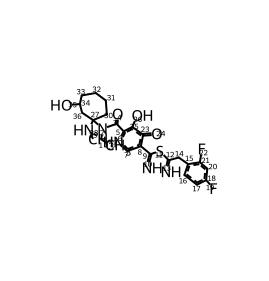 CCN(C(=O)c1[nH]cc(C(=N)SC(=N)Cc2ccc(F)cc2F)c(=O)c1O)C1(NC)CCCCC(O)C1